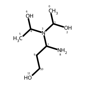 CC(O)N(C(C)O)C(N)CCO